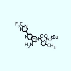 CC1CCC(C(=O)NCc2cc(-c3cnc(C(F)(F)F)nc3)ncc2C(N)F)N1C(=O)OC(C)(C)C